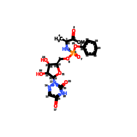 COC(=O)[C@H](C)NP(=O)(OC[C@H]1O[C@@H](n2ncc(=O)[nH]c2=O)C(O)[C@H]1O)Oc1ccccc1